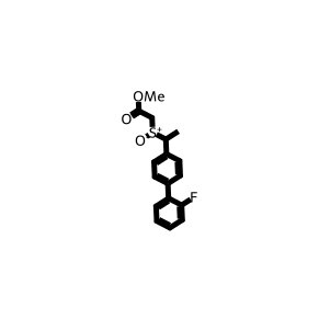 COC(=O)C[S+]([O-])C(C)c1ccc(-c2ccccc2F)cc1